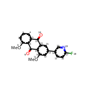 COc1cccc2c1C(=O)c1c(OC)cc(-c3ccc(F)nc3)cc1C2=O